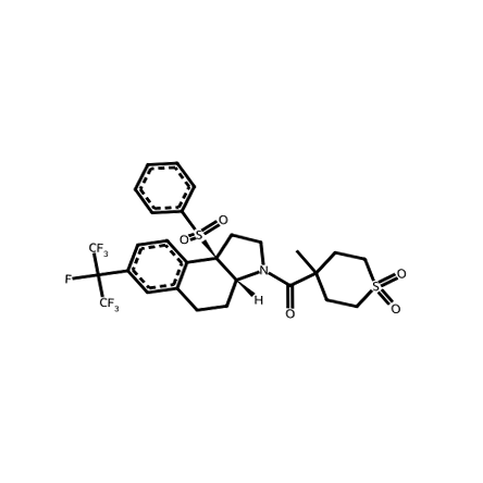 CC1(C(=O)N2CC[C@@]3(S(=O)(=O)c4ccccc4)c4ccc(C(F)(C(F)(F)F)C(F)(F)F)cc4CC[C@@H]23)CCS(=O)(=O)CC1